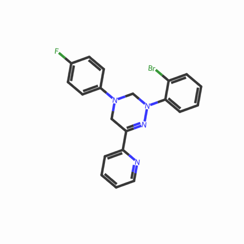 Fc1ccc(N2CC(c3ccccn3)=NN(c3ccccc3Br)C2)cc1